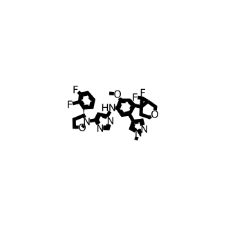 COc1cc(C23CCOCC2C3(F)F)c(-c2cnn(C)c2)cc1Nc1cc(N2OCC[C@@H]2c2cccc(F)c2F)ncn1